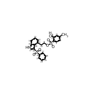 Cc1ccc(S(=O)(=O)OCCc2cccc3[nH]cc(S(=O)(=O)c4ccccc4)c23)c(C)c1